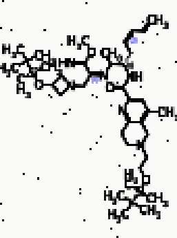 C=C/C=C\C[C@H](NC(=O)c1cc(C)c2c(n1)CCN(CCO[Si](C)(C)C(C)(C)C)C2)C(C)/N=C(/CN1CC(O[Si](C)(C)C(C)(C)C)C1)C(=N)OC